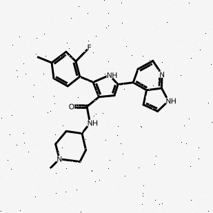 Cc1ccc(-c2[nH]c(-c3ccnc4[nH]ccc34)cc2C(=O)NC2CCN(C)CC2)c(F)c1